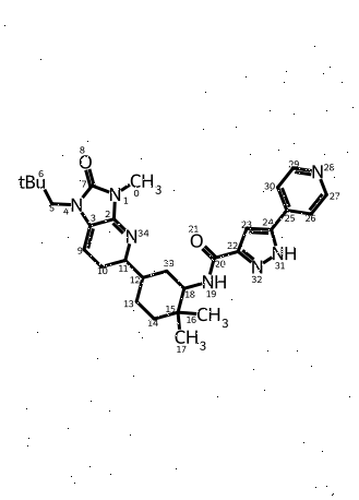 Cn1c2c(n(CC(C)(C)C)c1=O)=CCC(C1CCC(C)(C)C(NC(=O)c3cc(-c4ccncc4)[nH]n3)C1)N=2